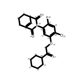 O=C1C2=CC(CCC2)C(=O)N1c1cc(OCC(=S)C2CCCCC2)c(Cl)cc1F